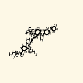 CNC(=O)c1ccc(NCC#Cc2cc3c(N[C@H]4CC[C@@H](N5CCCC5)CC4)cccc3n2CC(F)(F)F)c(OC)c1